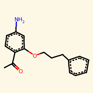 CC(=O)c1ccc(N)cc1OCCCc1ccccc1